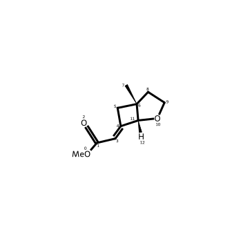 COC(=O)C=C1C[C@]2(C)CCO[C@H]12